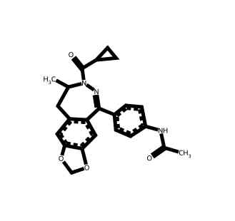 CC(=O)Nc1ccc(C2=NN(C(=O)C3CC3)C(C)Cc3cc4c(cc32)OCO4)cc1